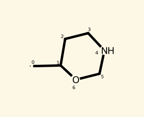 [CH2]C1CCNCO1